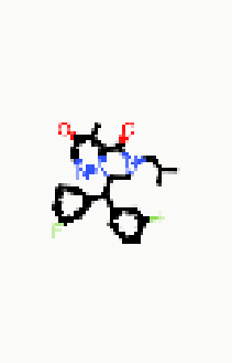 Cc1c2n(ncc1=O)C(C(c1cccc(F)c1)c1cccc(F)c1)CN(CC(C)C)C2=O